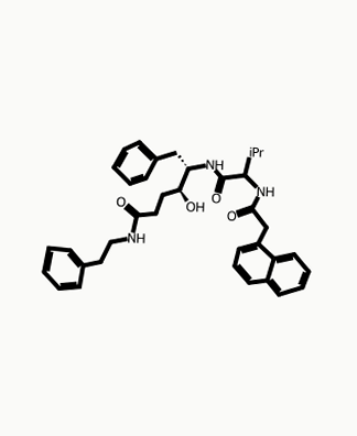 CC(C)C(NC(=O)Cc1cccc2ccccc12)C(=O)N[C@@H](Cc1ccccc1)[C@@H](O)CCC(=O)NCCc1ccccc1